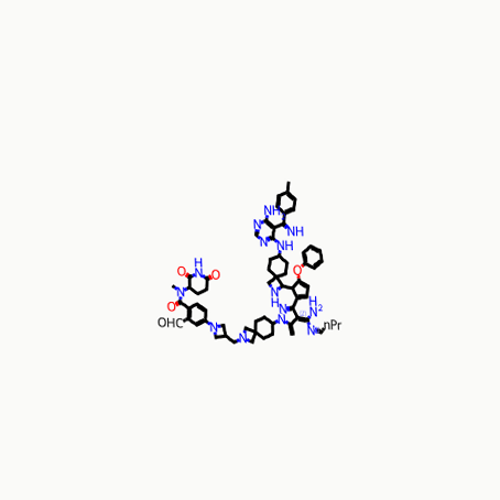 C=c1/c(=C(N)\N=C/CCC)c(C2=CC=C(Oc3ccccc3)C2C2NCC23CCC(Nc2ncnc(N)c2C(=N)c2ccc(C)cc2)CC3)nn1C1CCC2(CC1)CN(CC1CN(c3ccc(C(=O)N(C)C4CCC(=O)NC4=O)c(C=O)c3)C1)C2